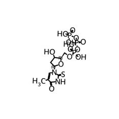 Cc1cn([C@H]2CC(O)[C@@H](COP(=O)(O)OP(=O)(O)OP(=O)(O)O)O2)c(=S)[nH]c1=O